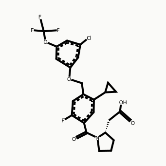 O=C(O)C[C@@H]1CCCN1C(=O)c1cc(C2CC2)c(COc2cc(Cl)cc(OC(F)(F)F)c2)cc1F